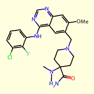 COc1cc2ncnc(Nc3cccc(Cl)c3F)c2cc1CN1CCC(C(N)=O)(N(C)C)CC1